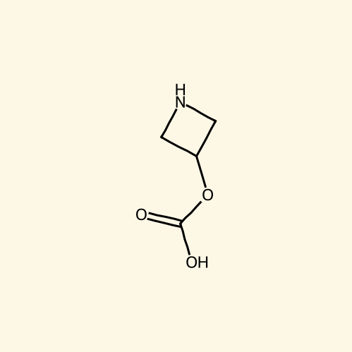 O=C(O)OC1CNC1